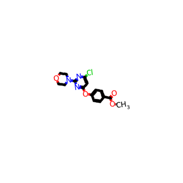 COC(=O)c1ccc(Oc2cc(Cl)nc(N3CCOCC3)n2)cc1